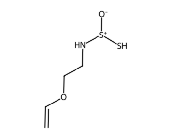 C=COCCN[S+]([O-])S